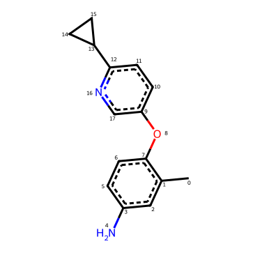 Cc1cc(N)ccc1Oc1ccc(C2CC2)nc1